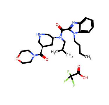 CCCCn1c(C(=O)N(CC(C)C)[C@@H]2CNC[C@H](C(=O)N3CCOCC3)C2)nc2ccccc21.O=C(O)C(F)(F)F